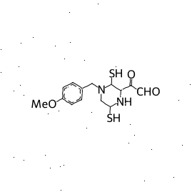 COc1ccc(CN2CC(S)NC(C(=O)C=O)C2S)cc1